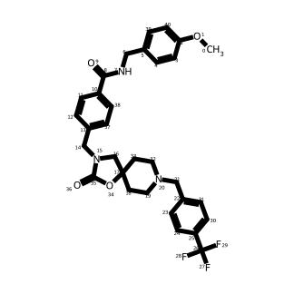 COc1ccc(CNC(=O)c2ccc(CN3CC4(CCN(Cc5ccc(C(F)(F)F)cc5)CC4)OC3=O)cc2)cc1